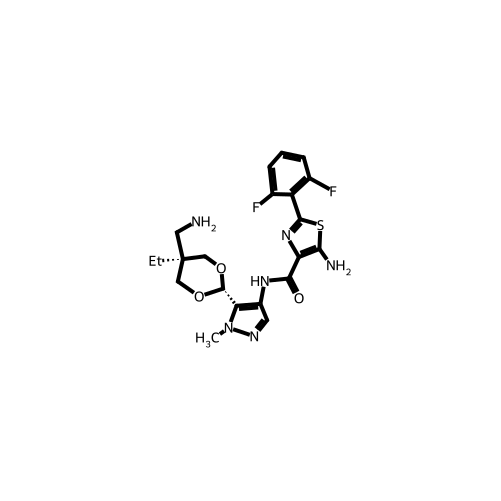 CC[C@]1(CN)CO[C@H](c2c(NC(=O)c3nc(-c4c(F)cccc4F)sc3N)cnn2C)OC1